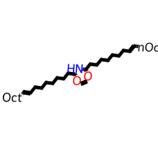 C=C.CCCCCCCCC=CCCCCCCCC(=O)NC(=O)CCCCCCCC=CCCCCCCCC